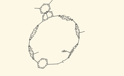 CCCCc1cc2ccc1CCc1ccc(cc1)-c1cnc(cc1C)-c1ccc(cc1)-c1cccc(c1-c1cc(C)cc(C)c1)-c1ccc(cc1)-c1cc(C)c-2cn1